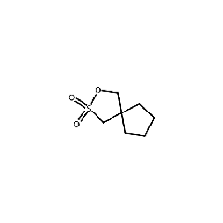 O=S1(=O)CC2(CCCC2)CO1